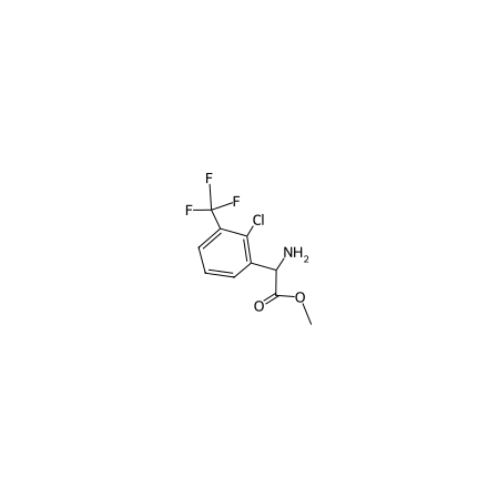 COC(=O)C(N)c1cccc(C(F)(F)F)c1Cl